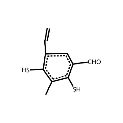 C=Cc1cc(C=O)c(S)c(C)c1S